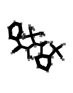 CN(C(=O)c1ccccc1)N(C(=O)c1ccccc1C(F)(F)F)C(C)(C)C